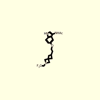 CC(=O)Nc1c[nH]c2ccc(OCCC3CC4(C3)CN(CC(F)(F)F)C4)cc12